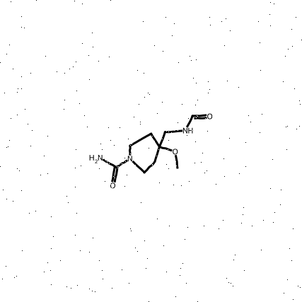 COC1(CNC=O)CCN(C(N)=O)CC1